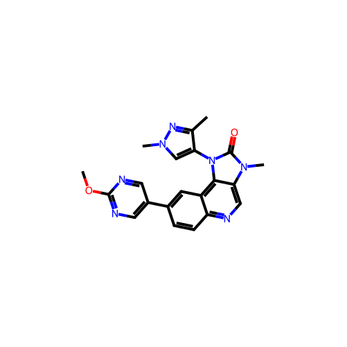 COc1ncc(-c2ccc3ncc4c(c3c2)n(-c2cn(C)nc2C)c(=O)n4C)cn1